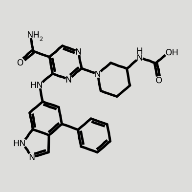 NC(=O)c1cnc(N2CCCC(NC(=O)O)C2)nc1Nc1cc(-c2ccccc2)c2cn[nH]c2c1